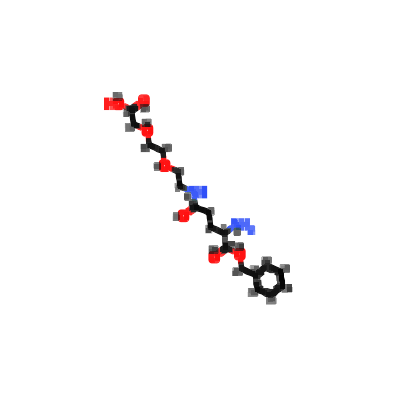 NC(CCC(=O)NCCOCCOCC(=O)O)C(=O)OCc1ccccc1